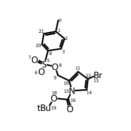 Cc1ccc(S(=O)(=O)OCc2cc(Br)cn2C(=O)OC(C)(C)C)cc1